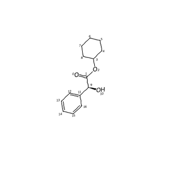 O=C(OC1CCCCC1)[C@@H](O)c1ccccc1